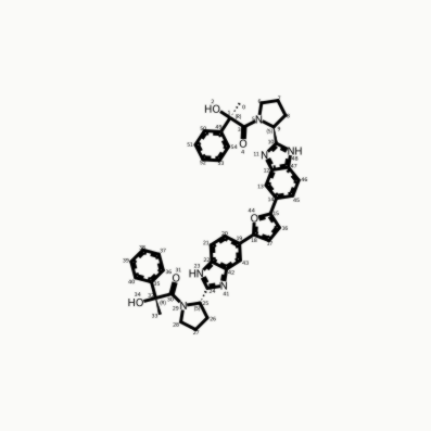 C[C@](O)(C(=O)N1CCC[C@H]1c1nc2cc(-c3ccc(-c4ccc5[nH]c([C@@H]6CCCN6C(=O)[C@](C)(O)c6ccccc6)nc5c4)o3)ccc2[nH]1)c1ccccc1